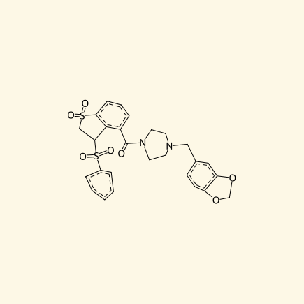 O=C(c1cccc2c1C(S(=O)(=O)c1ccccc1)CS2(=O)=O)N1CCN(Cc2ccc3c(c2)OCO3)CC1